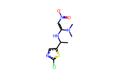 CC(N/C(=C/[N+](=O)[O-])N(C)C)c1cnc(Cl)s1